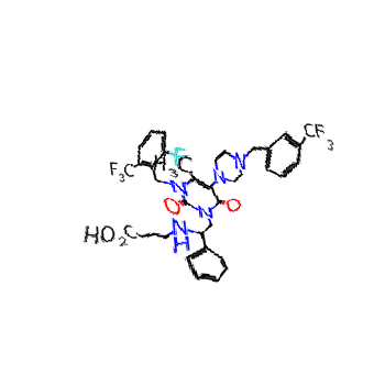 Cc1c(N2CCN(Cc3cccc(C(F)(F)F)c3)CC2)c(=O)n(C[C@H](NCCCC(=O)O)c2ccccc2)c(=O)n1Cc1c(F)cccc1C(F)(F)F